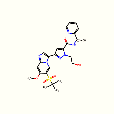 COc1cc2ncc(-c3cc(C(=O)N[C@H](C)c4ccccn4)n(CCO)n3)n2cc1S(=O)(=O)C(C)(C)C